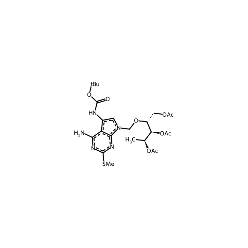 CSc1nc(N)c2c(NC(=O)OC(C)(C)C)cn(CO[C@H](COC(C)=O)[C@@H](OC(C)=O)[C@H](C)OC(C)=O)c2n1